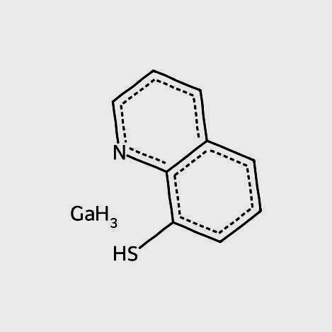 Sc1cccc2cccnc12.[GaH3]